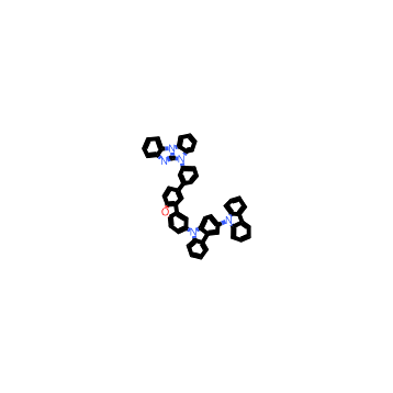 c1cc(-c2ccc3oc4ccc(-n5c6ccccc6c6cc(-n7c8ccccc8c8ccccc87)ccc65)cc4c3c2)cc(-n2c3ccccc3n3c4ccccc4nc23)c1